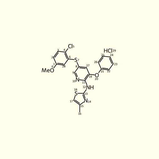 COc1ccc(Cl)c(Sc2cnc(Nc3nc(C)cs3)c(Oc3ccccc3)c2)c1.Cl